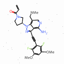 C=CC(=O)N1CC[C@H](n2nc(C#Cc3c(F)c(OC)cc(OC)c3F)c3c(N)ncc(CNC)c32)C1